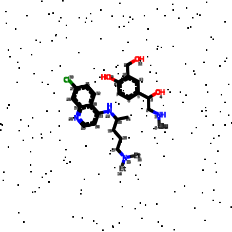 CC(C)(C)NCC(O)c1ccc(O)c(CO)c1.CCN(CC)CCCC(C)Nc1ccnc2cc(Cl)ccc12